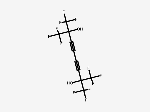 OC(C#CC#CC(O)(C(F)(F)F)C(F)(F)F)(C(F)(F)F)C(F)(F)F